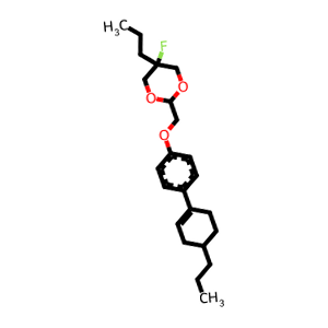 CCCC1CC=C(c2ccc(OCC3OCC(F)(CCC)CO3)cc2)CC1